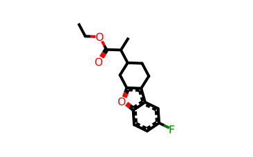 CCOC(=O)C(C)C1CCc2c(oc3ccc(F)cc23)C1